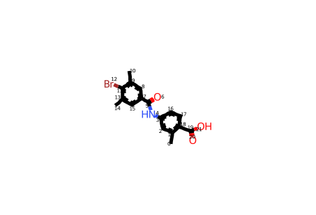 Cc1cc(NC(=O)c2cc(C)c(Br)c(C)c2)ccc1C(=O)O